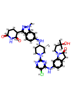 C[C@@H]1CN(c2ncc(Cl)c(Nc3ccc4c(c3)N(CCC(C)(C)O)C(=O)C4)n2)CC[C@H]1Nc1ccc2c(C3CCC(=O)NC3=O)nn(C)c2c1